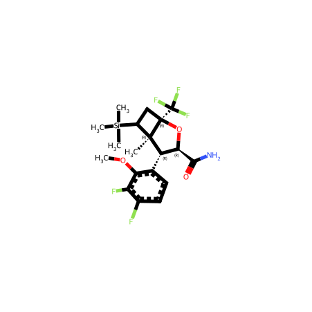 COc1c([C@H]2[C@H](C(N)=O)O[C@]3(C(F)(F)F)CC([Si](C)(C)C)[C@]23C)ccc(F)c1F